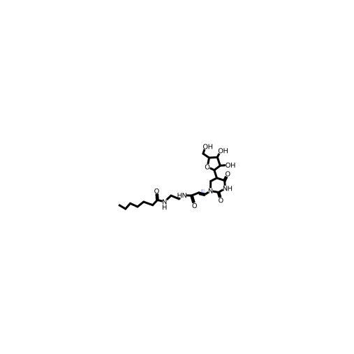 CCCCCCC(=O)NCCNC(=O)/C=C/N1CC(C2OC(CO)C(O)C2O)C(=O)NC1=O